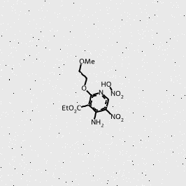 CCOC(=O)c1c(OCCOC)ncc([N+](=O)[O-])c1N.O=[N+]([O-])O